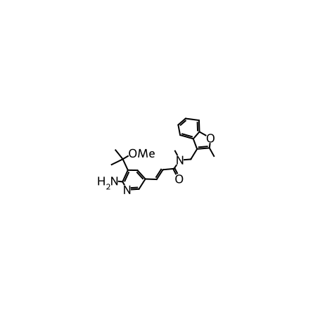 COC(C)(C)c1cc(/C=C/C(=O)N(C)Cc2c(C)oc3ccccc23)cnc1N